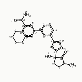 CN1CCC(O)(c2cc(-c3cccc(-c4cc5c(c(C(N)=O)n4)CCCC5)c3)no2)C1=O